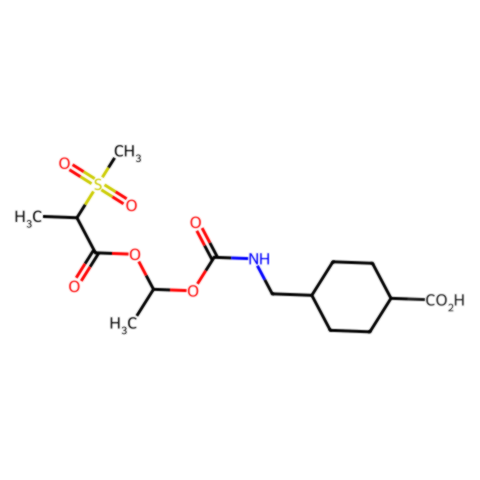 CC(OC(=O)NCC1CCC(C(=O)O)CC1)OC(=O)C(C)S(C)(=O)=O